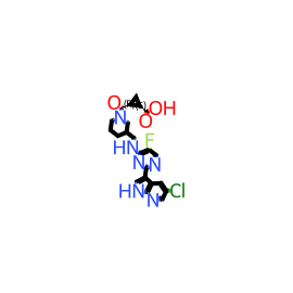 O=C(O)[C@H]1C[C@H]1C(=O)N1CCCC(CNc2nc(-c3c[nH]c4ncc(Cl)cc34)ncc2F)C1